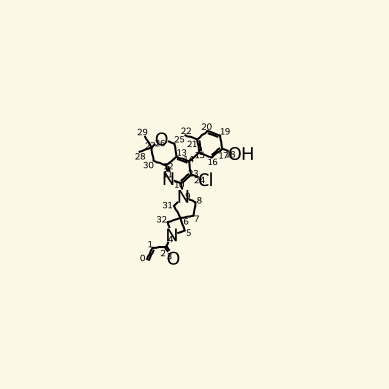 C=CC(=O)N1CC2(CCN(c3nc4c(c(-c5cc(O)ccc5C)c3Cl)COC(C)(C)C4)C2)C1